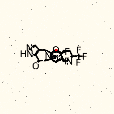 O=C1c2[nH]ncc2C2c3cc(F)c(F)cc3C1N2S(=O)(=O)c1ccc(C(F)(F)F)nc1